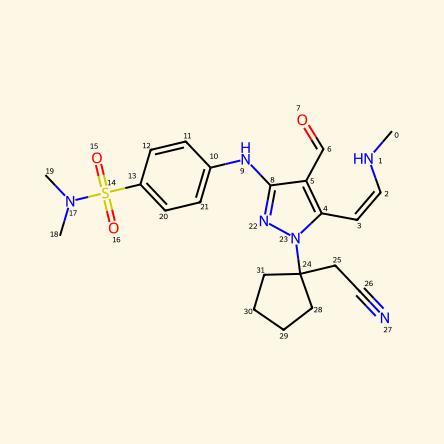 CN/C=C\c1c(C=O)c(Nc2ccc(S(=O)(=O)N(C)C)cc2)nn1C1(CC#N)CCCC1